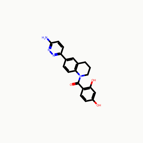 Nc1ccc(-c2ccc3c(c2)CCCN3C(=O)c2ccc(O)cc2O)nn1